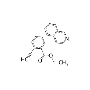 C#Cc1ccccc1C(=O)OCC.c1ccc2cnccc2c1